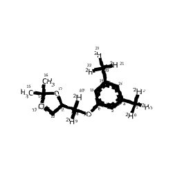 [2H]C([2H])([2H])c1cc(OC([2H])([2H])C2COC(C)(C)O2)cc(C([2H])([2H])[2H])c1